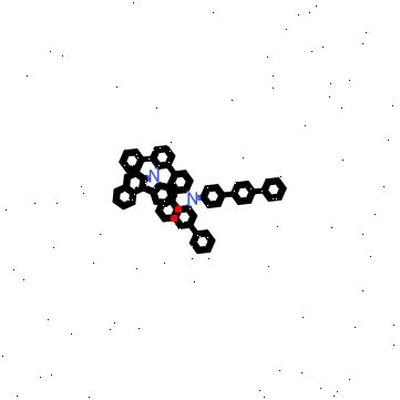 c1ccc(-c2ccc(-c3ccc(N(c4cccc(-c5ccccc5)c4)c4ccc(-c5cccc(-c6ccccc6)c5-n5c6ccccc6c6c7ccccc7ccc65)cc4-c4ccccc4)cc3)cc2)cc1